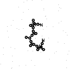 N#Cc1ccc(-c2cc(-c3ccccc3)nc(-n3c4ccccc4c4cc(-c5ccc6c(c5)c5ccccc5n6-c5ccc(-c6cc(-c7ccccc7)cc(-c7ccc(-n8c9ccccc9c9cc(-c%10ccc%11c(c%10)c%10ccccc%10n%11-c%10nc(-c%11ccccc%11)cc(-c%11ccc(C#N)cc%11)n%10)ccc98)cc7)c6)cc5)ccc43)n2)cc1